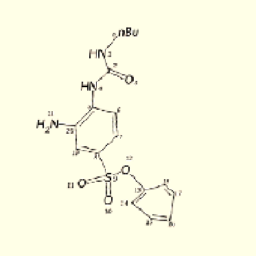 CCCCNC(=O)Nc1ccc(S(=O)(=O)Oc2ccccc2)cc1N